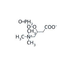 C[N+](C)(C)CC(CC(=O)[O-])OO[PH2]=O